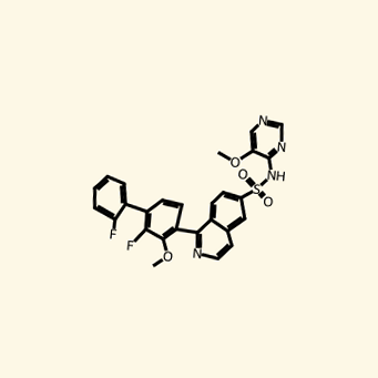 COc1cncnc1NS(=O)(=O)c1ccc2c(-c3ccc(-c4ccccc4F)c(F)c3OC)nccc2c1